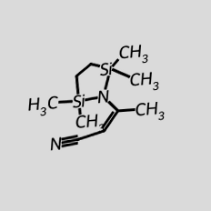 C/C(=C/C#N)N1[Si](C)(C)CC[Si]1(C)C